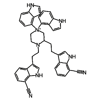 N#Cc1cccc2c(CCC3C[N+](c4cccc5[nH]ccc45)(c4cccc5[nH]ccc45)CCN3CCc3c[nH]c4c(C#N)cccc34)c[nH]c12